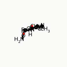 Cc1sc(NC(=O)Cc2ccc(F)c(OCCOCCN)c2)nc1-c1ccc2c(c1)CCN2C(=O)c1cncn1C